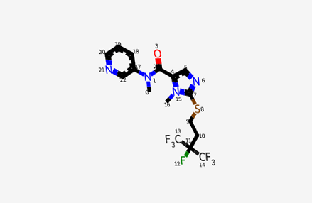 CN(C(=O)c1cnc(SCCC(F)(C(F)(F)F)C(F)(F)F)n1C)c1cccnc1